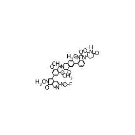 COc1cc(-c2cn(C)c(=O)c3cnc(N4CC(F)C4)cc23)cc(OC)c1CN1CC(=O)c2cc(-c3cccc4c3n(C)c(=O)n4C3CCC(=O)NC3=O)ccc2C1